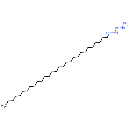 CCCCCCCCCCCCCCCCCCCCCCCCCCCCCNNNNN